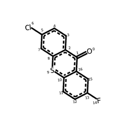 O=c1c2ccc(Cl)cc2sc2ccc(F)cc12